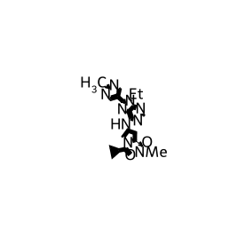 CCn1c(-c2cnc(C)nc2)nc2c(N[C@H]3C[C@H](C(=O)NC)N(C(=O)C4CC4)C3)ncnc21